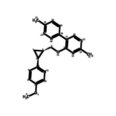 COc1ccc([C@H]2C[C@@H]2COc2nc(C)ncc2-c2ccc(C)nn2)nc1